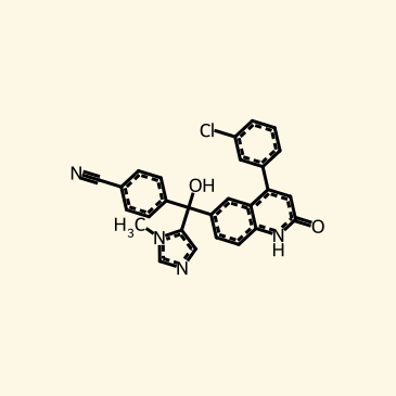 Cn1cncc1C(O)(c1ccc(C#N)cc1)c1ccc2[nH]c(=O)cc(-c3cccc(Cl)c3)c2c1